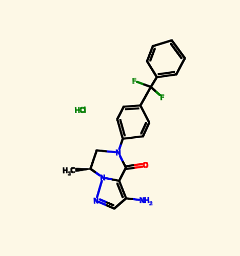 C[C@H]1CN(c2ccc(C(F)(F)c3ccccc3)cc2)C(=O)c2c(N)cnn21.Cl